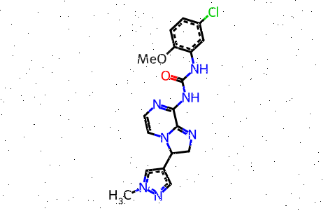 COc1ccc(Cl)cc1NC(=O)NC1=NC=CN2C1=NCC2c1cnn(C)c1